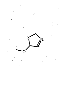 COC1[C]=NCS1